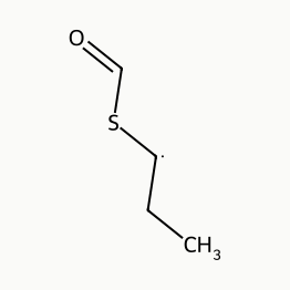 CC[CH]SC=O